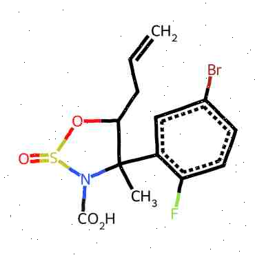 C=CCC1OS(=O)N(C(=O)O)C1(C)c1cc(Br)ccc1F